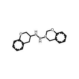 B(NC1COc2ccccc2C1)N1COc2ccccc2C1